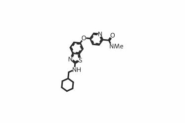 CNC(=O)c1ccc(Oc2ccc3nc(NCC4CCCCC4)sc3c2)cn1